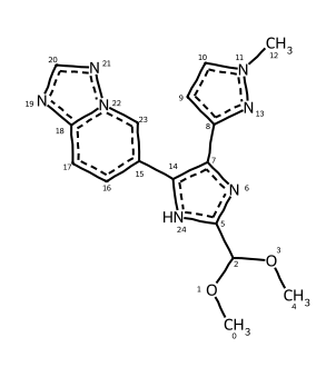 COC(OC)c1nc(-c2ccn(C)n2)c(-c2ccc3ncnn3c2)[nH]1